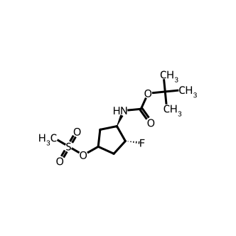 CC(C)(C)OC(=O)N[C@@H]1CC(OS(C)(=O)=O)C[C@H]1F